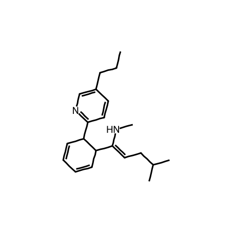 CCCc1ccc(C2C=CC=CC2/C(=C/CC(C)C)NC)nc1